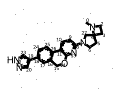 CN1CCC12CCN(c1ccc3c(n1)OCc1cc(-c4cn[nH]c4)ccc1-3)C2